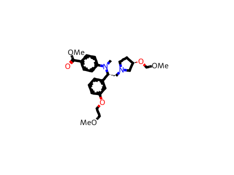 COCCOc1cccc([C@@H](CN2CC[C@H](OCOC)C2)N(C)c2ccc(C(=O)OC)cc2)c1